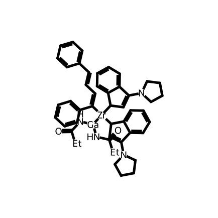 CCC(=O)[NH][Ga]([NH]C(=O)CC)[Zr]([C](=CC=Cc1ccccc1)c1ccccc1)([CH]1C=C(N2CCCC2)c2ccccc21)[CH]1C=C(N2CCCC2)c2ccccc21